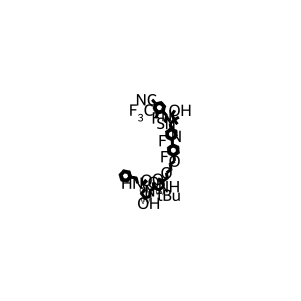 CC(C)(C)[C@H](NC(=O)COCCOc1ccc(-c2ncc(N3C(=S)N(c4ccc(C#N)c(C(F)(F)F)c4F)C(O)C3(C)C)cc2F)cc1F)C(=O)N1C[C@H](O)C[C@H]1C(=O)NCc1ccccc1